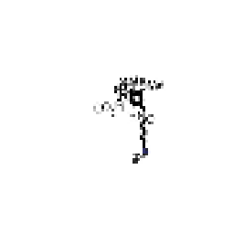 COc1cc(CNC(=O)CCCC/C=C/C(C)C)ccc1OP(=O)(NCC(=O)O)OC